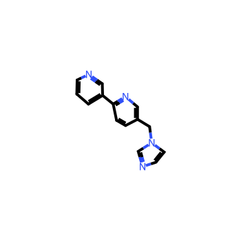 c1cncc(-c2ccc(Cn3ccnc3)cn2)c1